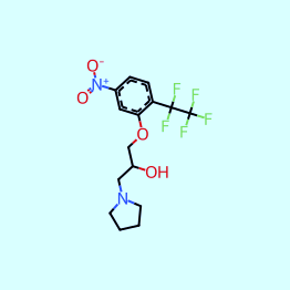 O=[N+]([O-])c1ccc(C(F)(F)C(F)(F)F)c(OCC(O)CN2CCCC2)c1